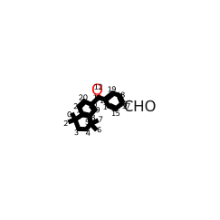 CC1(C)CCC(C)(C)c2cc(C(=O)c3ccc(C=O)cc3)ccc21